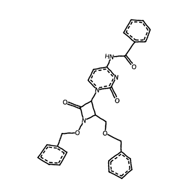 O=C(Nc1ccn(C2C(=O)N(OCc3ccccc3)C2COCc2ccccc2)c(=O)n1)c1ccccc1